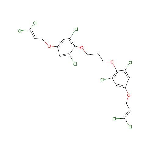 ClC(Cl)=CCOc1cc(Cl)c(OCCCOc2c(Cl)cc(OCC=C(Cl)Cl)cc2Cl)c(Cl)c1